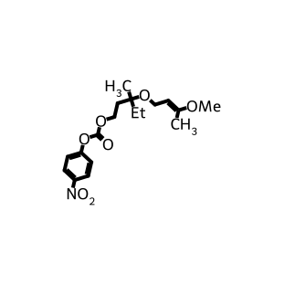 CCC(C)(CCOC(=O)Oc1ccc([N+](=O)[O-])cc1)OC/C=C(\C)OC